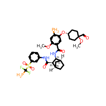 COc1cc(P)c(O[C@H]2CC[C@](C=O)(OC)CC2)cc1C(=O)N[C@H]1[C@H]2CC[C@H](C2)[C@H]1C(=O)Nc1cccc(S(=O)(=O)C(F)(F)P)c1